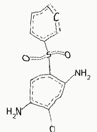 Nc1cc(S(=O)(=O)c2ccccc2)c(N)cc1Cl